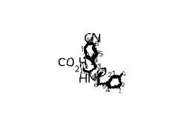 Cc1cccc(CC(=O)NC(CC(=O)O)Cc2ccc(C#N)cc2)c1